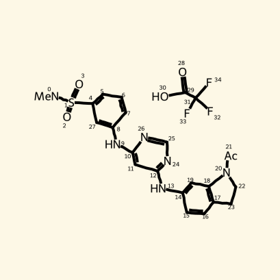 CNS(=O)(=O)c1cccc(Nc2cc(Nc3ccc4c(c3)N(C(C)=O)CC4)ncn2)c1.O=C(O)C(F)(F)F